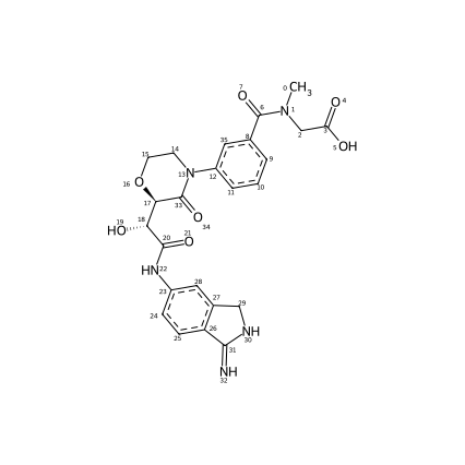 CN(CC(=O)O)C(=O)c1cccc(N2CCO[C@H]([C@@H](O)C(=O)Nc3ccc4c(c3)CNC4=N)C2=O)c1